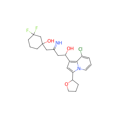 N=C(CC(O)c1cc(C2CCCO2)n2cccc(Cl)c12)CC1(O)CCCC(F)(F)C1